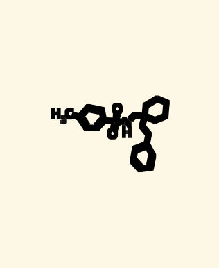 Cc1ccc(S(=O)(=O)NCC2(CCc3ccccc3)CCCCC2)cc1